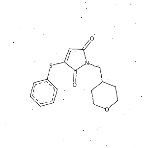 O=C1C=C(Sc2ccccc2)C(=O)N1CC1CCOCC1